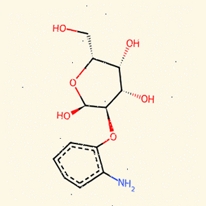 Nc1ccccc1O[C@@H]1[C@@H](O)[C@@H](O)[C@@H](CO)O[C@@H]1O